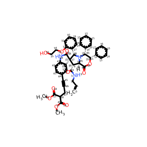 C=CCNC(=O)[C@H]1[C@@H]2C(=O)O[C@@H](c3ccccc3)[C@@H](c3ccccc3)N2[C@@H](c2ccccc2OCCO)[C@]12C(=O)Nc1ccc(C#CCC(C(=O)OC)C(=O)OC)cc12